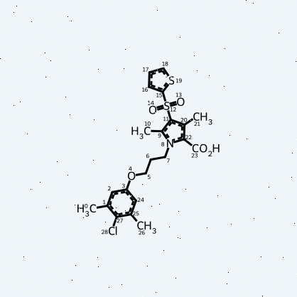 Cc1cc(OCCCn2c(C)c(S(=O)(=O)c3cccs3)c(C)c2C(=O)O)cc(C)c1Cl